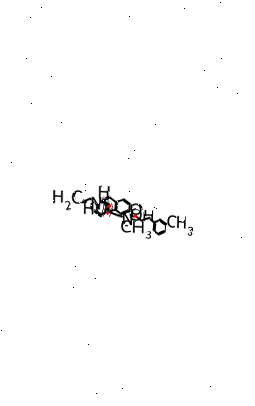 C=CCN1CC[C@]23CC(N(C)C(=O)CCc4cccc(C)c4)CC[C@@]2(O)[C@H]1Cc1ccc(O)cc13